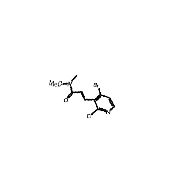 CON(C)C(=O)CCc1c(Br)ccnc1Cl